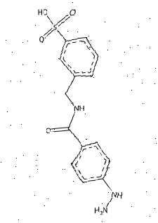 NNc1ccc(C(=O)NCc2cccc(S(=O)(=O)O)c2)cc1